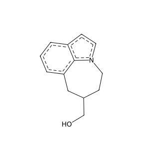 OCC1CCn2ccc3cccc(c32)C1